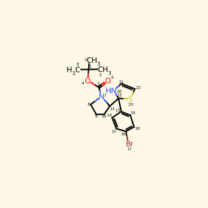 CC(C)(C)OC(=O)N1CCCC1C1(c2ccc(Br)cc2)NC=CS1